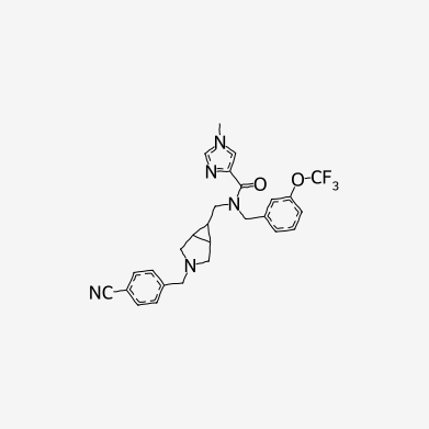 Cn1cnc(C(=O)N(Cc2cccc(OC(F)(F)F)c2)CC2C3CN(Cc4ccc(C#N)cc4)CC32)c1